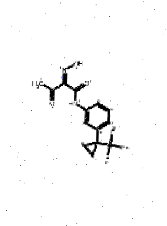 CC(=O)/C(=N/O)C(=O)Nc1cccc(C2(C(F)(F)F)CC2)c1